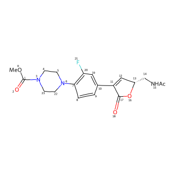 COC(=O)N1CCN(c2ccc(C3=C[C@H](CNC(C)=O)OC3=O)cc2F)CC1